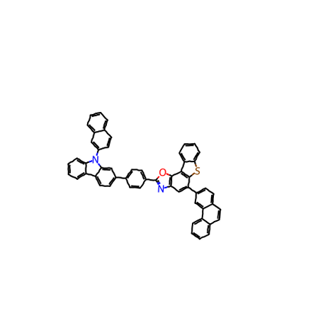 c1ccc2cc(-n3c4ccccc4c4ccc(-c5ccc(-c6nc7cc(-c8ccc9ccc%10ccccc%10c9c8)c8sc9ccccc9c8c7o6)cc5)cc43)ccc2c1